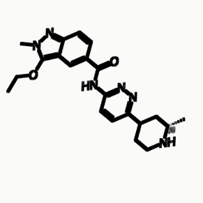 CCOc1c2cc(C(=O)Nc3ccc(C4CCN[C@@H](C)C4)nn3)ccc2nn1C